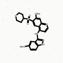 COc1ccc2[nH]nc(Nc3ccnc4cc(OC)c(S(=O)(=O)C5CCOCC5)cc34)c2c1